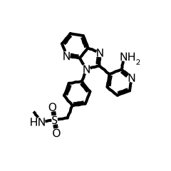 CNS(=O)(=O)Cc1ccc(-n2c(-c3cccnc3N)nc3cccnc32)cc1